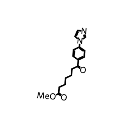 COC(=O)CCCCCC(=O)c1ccc(-n2ccnc2)cc1